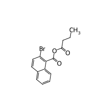 CCCC(=O)OC(=O)c1c(Br)ccc2ccccc12